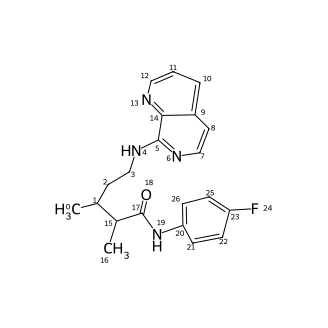 CC(CCNc1nccc2cccnc12)C(C)C(=O)Nc1ccc(F)cc1